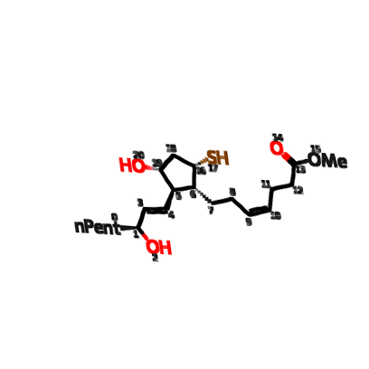 CCCCC[C@H](O)/C=C/[C@@H]1[C@@H](CC/C=C\CCC(=O)OC)[C@@H](S)C[C@H]1O